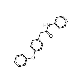 O=C(Cc1ccc(Oc2ccccc2)cc1)Nc1ccncc1